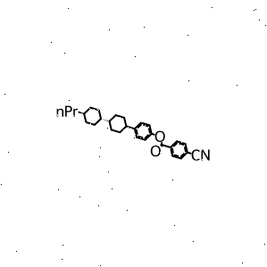 CCC[C@H]1CC[C@H](C2CCC(c3ccc(OC(=O)c4ccc(C#N)cc4)cc3)CC2)CC1